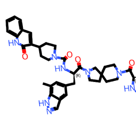 CN[C@H](C)C(=O)N1CCC2(CC1)CCN(C(=O)[C@@H](Cc1cc(C)c3[nH]ncc3c1)NC(=O)N1CCC(c3cc4ccccc4[nH]c3=O)CC1)C2